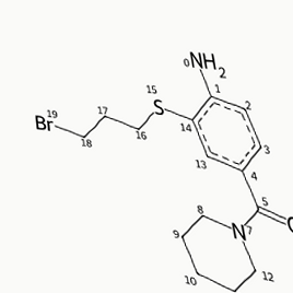 Nc1ccc(C(=O)N2CCCCC2)cc1SCCCBr